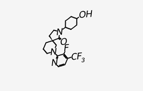 O=C1N(C2CCC(O)CC2)CC[C@@]12CCCN(c1nccc(C(F)(F)F)c1F)C2